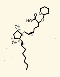 CCCCCC/C=C/[C@@H]1[C@@H](C/C=C\CCC(OC2CCCCO2)C(=O)O)[C@@H](O)C[C@H]1O